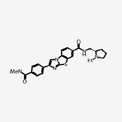 CCN1CCC[C@@H]1CNC(=O)c1ccc2c(c1)sc1nc(-c3ccc(C(=O)NC)cc3)cn12